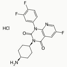 Cl.N[C@H]1CC[C@@H](n2c(=O)c3cc(F)cnc3n(-c3ccc(F)c(F)c3)c2=O)CC1